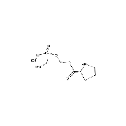 CC(C)(C)OP(=O)(OCOC(=O)[C@@H]1CCCN1)OC(C)(C)C